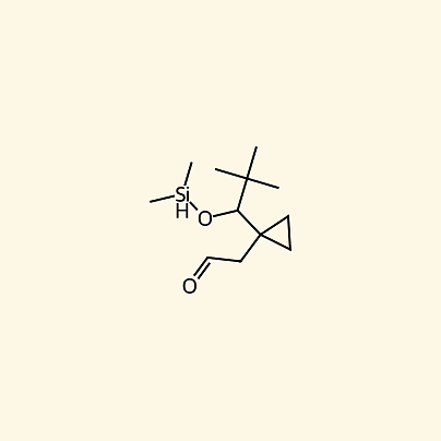 C[SiH](C)OC(C(C)(C)C)C1(CC=O)CC1